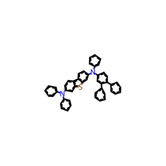 c1ccc(-c2ccc(N(c3ccccc3)c3ccc4c(c3)sc3cc(N(c5ccccc5)c5ccccc5)ccc34)cc2-c2ccccc2)cc1